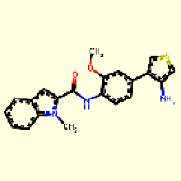 COc1cc(-c2cscc2N)ccc1NC(=O)c1cc2ccccc2n1C